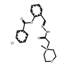 C[N+]1(CC(=O)N/N=C/c2ccccc2OC(=O)c2ccccc2)CCOCC1.[Cl-]